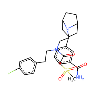 CS(=O)(=O)CC(=O)N(CCc1ccc(F)cc1)CCN1C2CCC1CC(c1cccc(C(N)=O)c1)C2